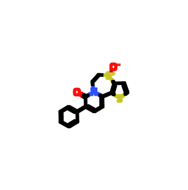 O=c1c(-c2ccccc2)ccc2n1CC[S+]([O-])c1ccsc1-2